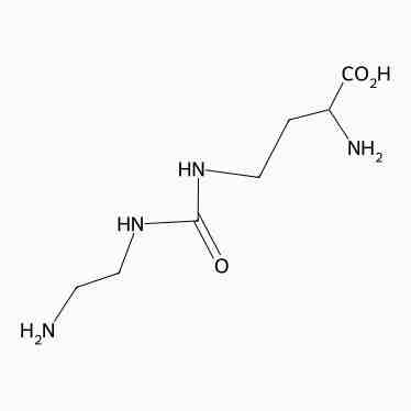 NCCNC(=O)NCCC(N)C(=O)O